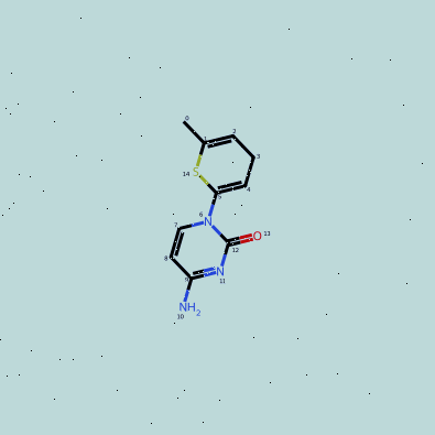 CC1=CCC=C(n2ccc(N)nc2=O)S1